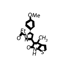 CCC(=O)N1N=C(c2c(C)c3ccsc3[nH]c2=O)C[C@H]1c1ccc(OC)cc1